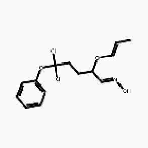 CC=COC(C=NO)CCC(Cl)(Cl)Oc1ccccc1